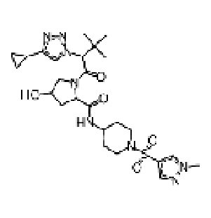 Cn1cc(S(=O)(=O)N2CCC(NC(=O)C3CC(O)CN3C(=O)[C@@H](n3cc(C4CC4)nn3)C(C)(C)C)CC2)cn1